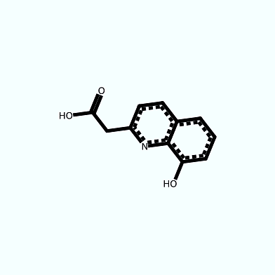 O=C(O)Cc1ccc2cccc(O)c2n1